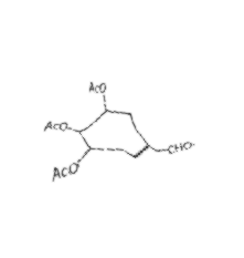 CC(=O)OC1CC([C]=O)CC(OC(C)=O)C1OC(C)=O